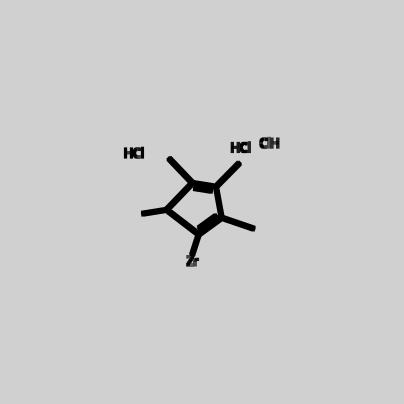 CC1=C(C)C(C)[C]([Zr])=C1C.Cl.Cl.Cl